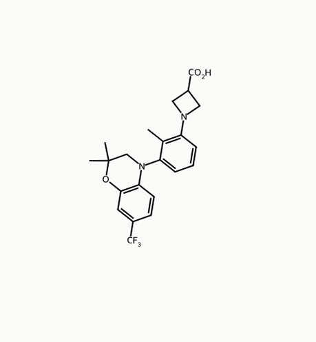 Cc1c(N2CC(C(=O)O)C2)cccc1N1CC(C)(C)Oc2cc(C(F)(F)F)ccc21